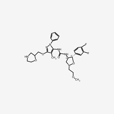 COCCN1C[C@@H](NC(=O)Nc2c(C)c(OCC3CNCCO3)nn2-c2ccccc2)[C@H](c2ccc(F)c(F)c2)O1